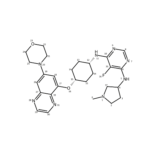 CN1CCC(Nc2ncnc(N[C@H]3CC[C@@H](Oc4cc(N5CCOCC5)cc5nccnc45)CC3)c2F)C1